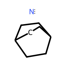 C1CC2CCC1CC2.[N]